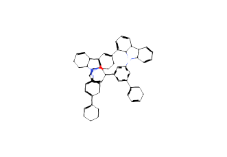 C1=CCCC(c2cc(C3C=CC=CC3)cc(N3C4C=CC=CC4C4C=CC=C(C5=CC6=C(CC5)N(C5=CC=C(C7=CCCCC7)CC5)C5CCC=CC65)C43)c2)=C1